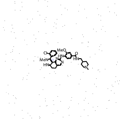 CN/C(=C1\C(=N)CCc2cnc(Nc3ccc(C(=O)NCC4CCN(C)CC4)cc3OC)nc21)c1ccccc1Cl